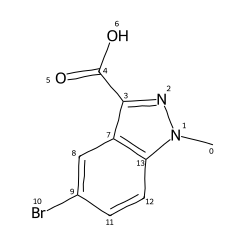 Cn1nc(C(=O)O)c2cc(Br)ccc21